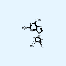 COc1nc(N)nc2c1ncn2[C@@H]1C=C(F)[C@H](O)C1